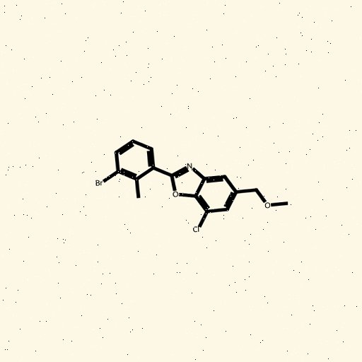 COCc1cc(Cl)c2oc(-c3cccc(Br)c3C)nc2c1